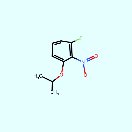 CC(C)Oc1cccc(F)c1[N+](=O)[O-]